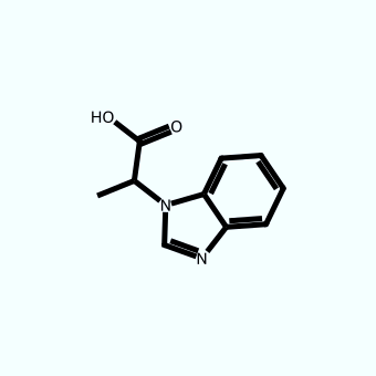 CC(C(=O)O)n1cnc2ccccc21